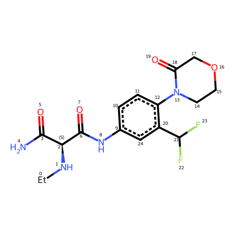 CCN[C@@H](C(N)=O)C(=O)Nc1ccc(N2CCOCC2=O)c(C(F)F)c1